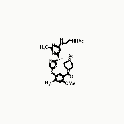 COc1cc(C)c(Sc2cnc(Nc3cc(NCCNC(C)=O)nc(C)n3)s2)cc1C(=O)N1CCN(C(C)=O)CC1